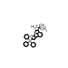 CC(C)(C)c1cn2c3oc([Si](c4ccccc4)(c4ccccc4)c4ccccc4)cc3c3cccc1c32